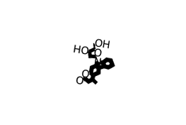 Cc1cc(=O)oc2cc3c(cc12)c1ccccc1n3[C@H]1CC(O)[C@@H](CO)O1